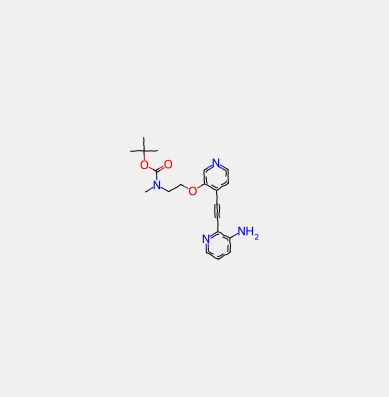 CN(CCOc1cnccc1C#Cc1ncccc1N)C(=O)OC(C)(C)C